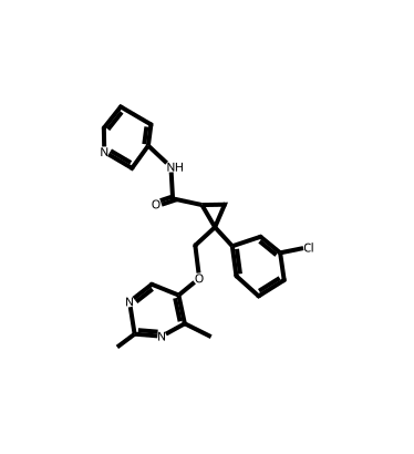 Cc1ncc(OCC2(c3cccc(Cl)c3)CC2C(=O)Nc2cccnc2)c(C)n1